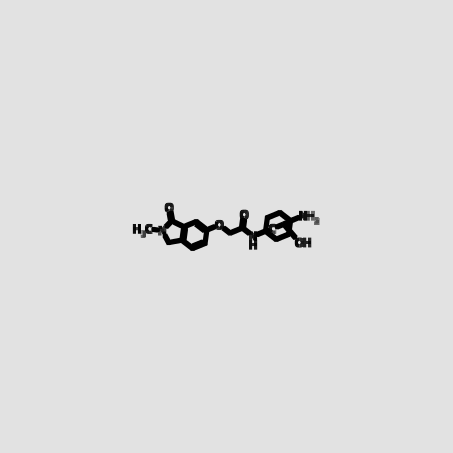 CN1Cc2ccc(OCC(=O)NC34CCC(N)(CC3)C(O)C4)cc2C1=O